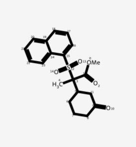 COC(=O)C(C)(C1CCCC(=O)C1)S(=O)(=O)c1cccc2ccccc12